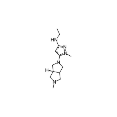 CCNc1cc(N2CC3CN(C)C[C@@H]3C2)n(C)n1